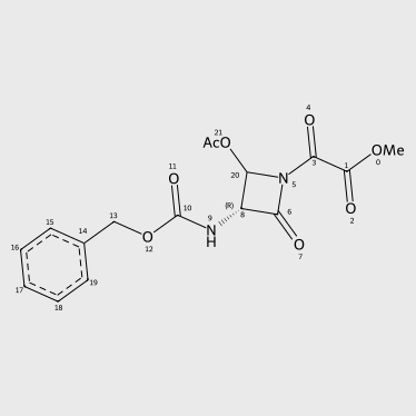 COC(=O)C(=O)N1C(=O)[C@H](NC(=O)OCc2ccccc2)C1OC(C)=O